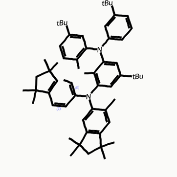 C/C=C(\C=C/C1=CC(C)(C)CC1(C)C)N(c1cc2c(cc1C)C(C)(C)CC2(C)C)c1cc(C(C)(C)C)cc(N(c2cccc(C(C)(C)C)c2)c2cc(C(C)(C)C)ccc2C)c1C